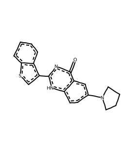 O=c1nc(-c2csc3ccccc23)[nH]c2ccc(N3CCCC3)cc12